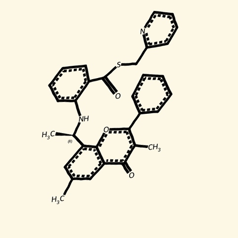 Cc1cc([C@@H](C)Nc2ccccc2C(=O)SCc2ccccn2)c2oc(-c3ccccc3)c(C)c(=O)c2c1